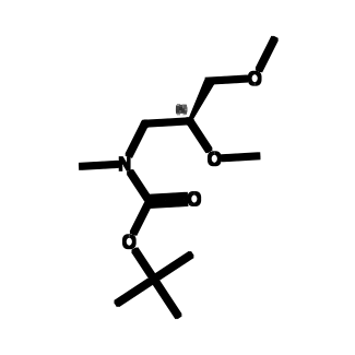 COC[C@H](CN(C)C(=O)OC(C)(C)C)OC